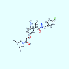 CCCN(CCC)C(=O)COc1ccc2c(c1)c(C(=O)NCc1ccc(F)cc1)c(C)n2C